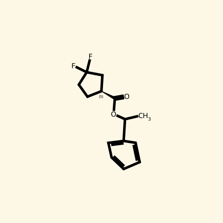 CC(OC(=O)[C@H]1CCC(F)(F)C1)c1ccccc1